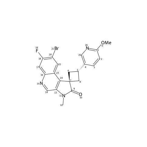 COc1ccc([C@H]2C[C@@]3(C2)C(=O)N(C)c2cnc4cc(F)c(Br)cc4c23)cn1